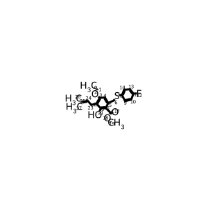 CCOc1cc(CSc2ccc(F)cc2)c(C(=O)OC)c(O)c1CC=C(C)C